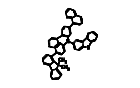 CC1(C)c2ccccc2-c2cccc(-c3ccc(N(c4ccc5sc6ccccc6c5c4)c4cc(-c5cccc6ccccc56)ccc4-c4ccccc4)cc3)c21